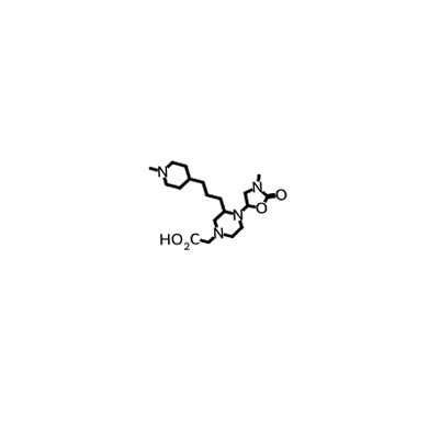 CN1CCC(CCCC2CN(CC(=O)O)CCN2C2CN(C)C(=O)O2)CC1